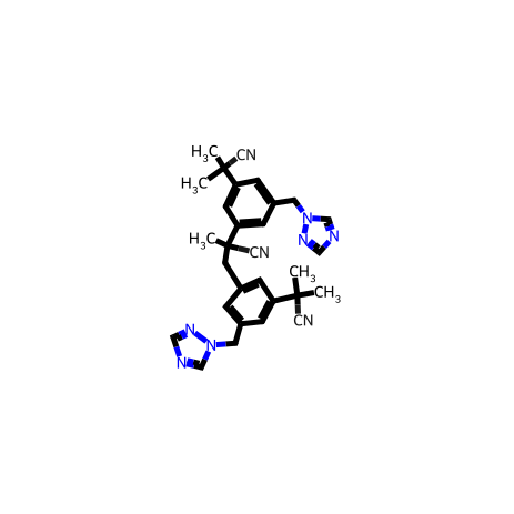 CC(C)(C#N)c1cc(Cn2cncn2)cc(CC(C)(C#N)c2cc(Cn3cncn3)cc(C(C)(C)C#N)c2)c1